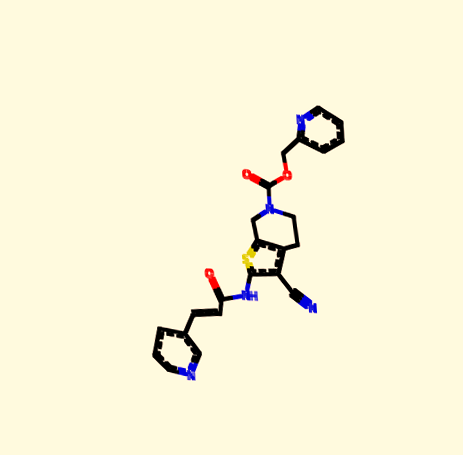 N#Cc1c(NC(=O)C=Cc2cccnc2)sc2c1CCN(C(=O)OCc1ccccn1)C2